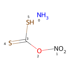 N.O=[N+]([O-])OC(=S)S